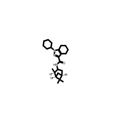 C[C@H]1C(NC(=O)c2nn(C3CCCCC3)c3c2CCCC3)C[C@@H]2C[C@H]1C2(C)C